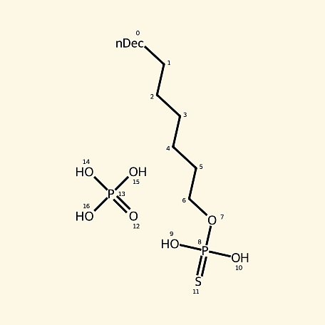 CCCCCCCCCCCCCCCCOP(O)(O)=S.O=P(O)(O)O